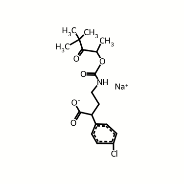 CC(OC(=O)NCCC(C(=O)[O-])c1ccc(Cl)cc1)C(=O)C(C)(C)C.[Na+]